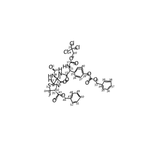 CC1(C)S[C@H]2N(C(=O)[C@@]2(NC=O)NC(=O)C(NC(=O)OCC(Cl)(Cl)Cl)c2ccc(OC(=O)OCc3ccccc3)cc2)[C@H]1C(=O)OCc1ccccc1